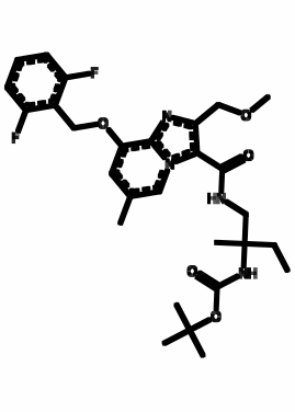 CCC(C)(CNC(=O)c1c(COC)nc2c(OCc3c(F)cccc3F)cc(C)cn12)NC(=O)OC(C)(C)C